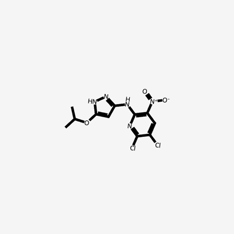 CC(C)Oc1cc(Nc2nc(Cl)c(Cl)cc2[N+](=O)[O-])n[nH]1